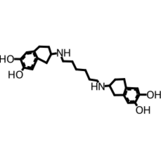 Oc1cc2c(cc1O)CC(NCCCCCCNC1CCc3cc(O)c(O)cc3C1)CC2